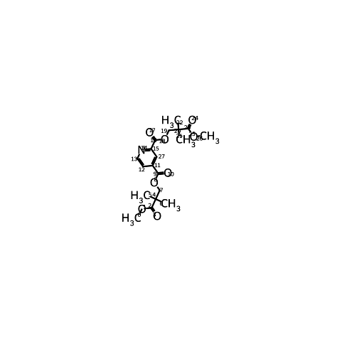 COC(=O)C(C)(C)COC(=O)c1ccnc(C(=O)OCC(C)(C)C(=O)OC)c1